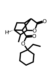 CCC1(OC(=O)C2C3C(=O)OC4C3C[C@@H]2C4C)CCCCC1